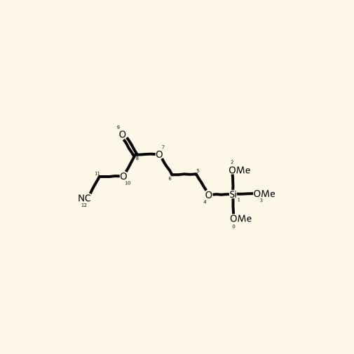 CO[Si](OC)(OC)OCCOC(=O)OCC#N